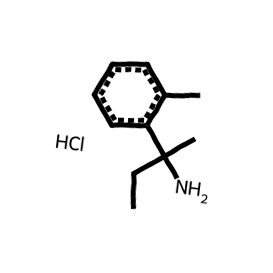 CCC(C)(N)c1ccccc1C.Cl